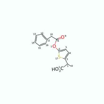 CC(C(=O)O)c1ccc(OC(=O)Cc2ccccc2)s1